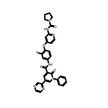 O=C(Nc1ccc(Oc2ccnc(NC(=O)N3CCCC3)c2)c(F)c1)c1cc(-c2cnccn2)cn(-c2ccccc2)c1=O